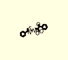 O=C1Oc2ccccc2C(=O)/C1=C/Nc1nc(-c2ccccc2)cs1